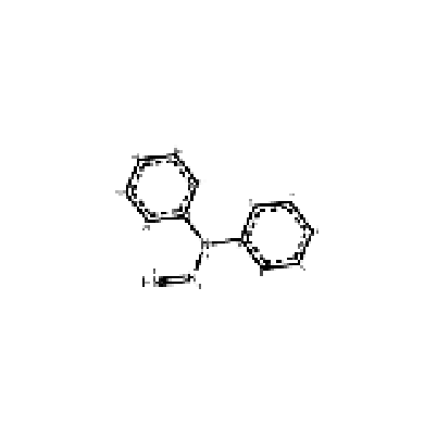 N=NN(c1cc[c]cc1)c1ccccc1